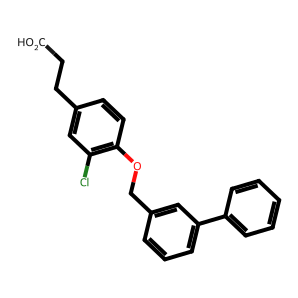 O=C(O)CCc1ccc(OCc2cccc(-c3ccccc3)c2)c(Cl)c1